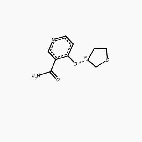 NC(=O)c1cnccc1O[C@@H]1CCOC1